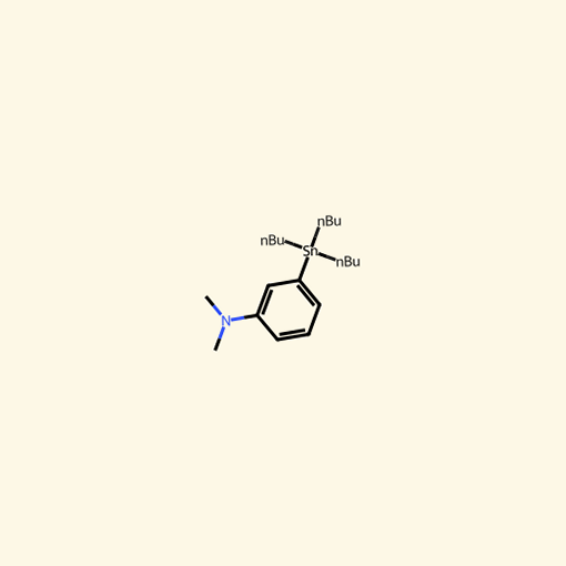 CCC[CH2][Sn]([CH2]CCC)([CH2]CCC)[c]1cccc(N(C)C)c1